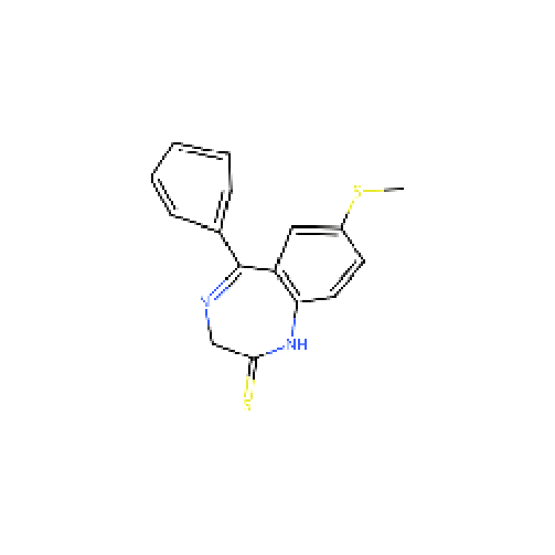 CSc1ccc2c(c1)C(c1ccccc1)=NCC(=S)N2